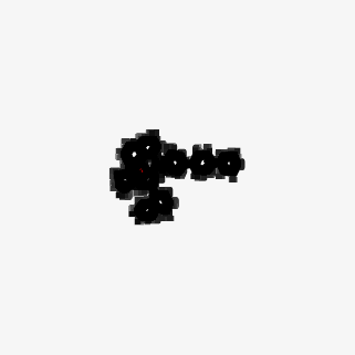 c1ccc(-c2ccc(-c3ccc(N(c4cccc(-c5cccc6ccccc56)c4)c4cccc5ccc6c7ccccc7oc6c45)cc3)cc2)cc1